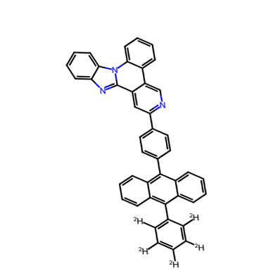 [2H]c1c([2H])c([2H])c(-c2c3ccccc3c(-c3ccc(-c4cc5c(cn4)c4ccccc4n4c6ccccc6nc54)cc3)c3ccccc23)c([2H])c1[2H]